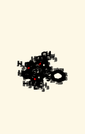 CC(C)c1cccc(C(C)C)c1Oc1cc(C(C)(C)C)cc(CS[C@H]2CCCCCC[C@@H]2SCc2cc(C(C)(C)C)cc(Oc3c(C(C)C)cccc3C(C)C)c2O)c1O